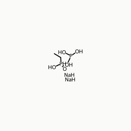 CC[PH](=O)O.OP(O)O.[NaH].[NaH]